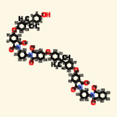 CC(C)(c1ccc(O)cc1)c1ccc(Oc2ccc3c(c2)C(=O)N(c2cccc(N4C(=O)c5ccc(Oc6ccc(C(C)(C)c7ccc(Oc8ccc9c(c8)C(=O)N(c8cccc(N%10C(=O)c%11ccccc%11C%10=O)c8)C9=O)cc7)cc6)cc5C4=O)c2)C3=O)cc1